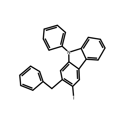 Ic1cc2c3ccccc3n(-c3ccccc3)c2cc1Cc1ccccc1